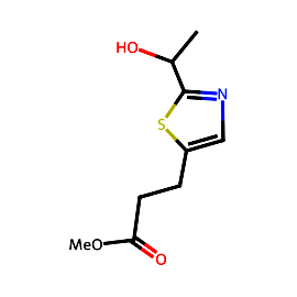 COC(=O)CCc1cnc(C(C)O)s1